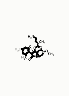 CON1CCC2(CC1)NC(=O)C(c1c(C)cc(C)cc1C)=C2OC(=O)N(C)CCN